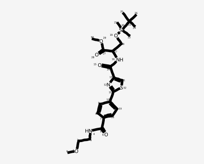 COCCNC(=O)c1ccc(-c2nc(C(=O)NC(CO[Si](C)(C)C(C)(C)C)C(=O)OC)cs2)cc1